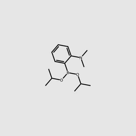 CC(C)OB(OC(C)C)c1ccccc1N(C)C